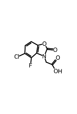 O=C(O)Cn1c(=O)oc2ccc(Cl)c(F)c21